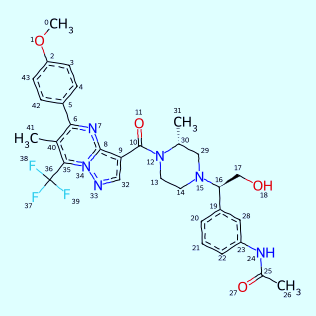 COc1ccc(-c2nc3c(C(=O)N4CCN([C@@H](CO)c5cccc(NC(C)=O)c5)C[C@H]4C)cnn3c(C(F)(F)F)c2C)cc1